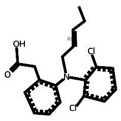 CC/C=C/CN(c1ccccc1CC(=O)O)c1c(Cl)cccc1Cl